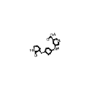 O=C(O)c1cncc(Nc2ccc(Cc3ccc[nH]c3=O)cc2)c1